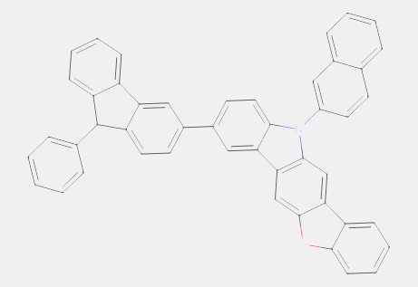 c1ccc(C2c3ccccc3-c3cc(-c4ccc5c(c4)c4cc6oc7ccccc7c6cc4n5-c4ccc5ccccc5c4)ccc32)cc1